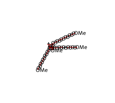 CCc1ccc2c(c1)C(Cc1cc(OCCOCCOC)cc(OCCOCCOCCOCCOCCOCCOCCOCCOCCOCCOCCOC)c1)(Cc1cc(OCCOCCOCCOCCOCCOCCOCCOCCOCCOCCOCCOC)cc(OCCOCCOCCOCCOCCOCCOCCOCCOCCOCCOCCOC)c1)c1cc(C)ccc1-2